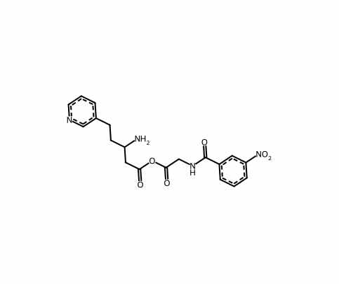 NC(CCc1cccnc1)CC(=O)OC(=O)CNC(=O)c1cccc([N+](=O)[O-])c1